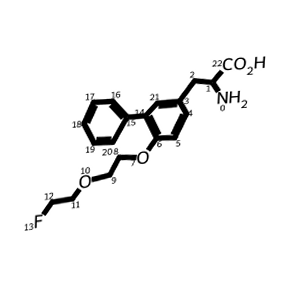 NC(Cc1ccc(OCCOCCF)c(-c2ccccc2)c1)C(=O)O